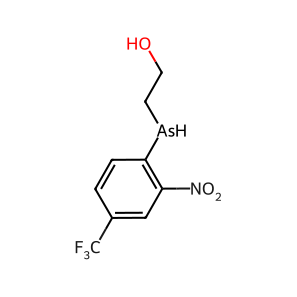 O=[N+]([O-])c1cc(C(F)(F)F)ccc1[AsH]CCO